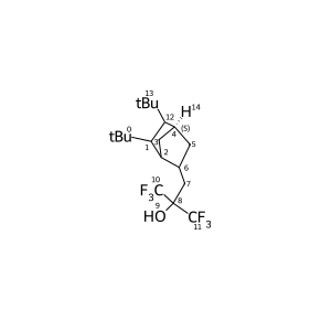 CC(C)(C)C1C2C[C@H](CC2CC(O)(C(F)(F)F)C(F)(F)F)C1C(C)(C)C